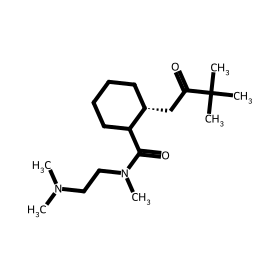 CN(C)CCN(C)C(=O)C1CCCC[C@@H]1CC(=O)C(C)(C)C